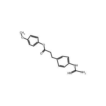 COc1ccc(OC(=O)CCc2ccc(NC(=N)N)cc2)cc1